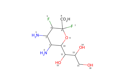 NC1C(N)C(F)C(F)(C(=O)O)OC1C(O)C(O)CO